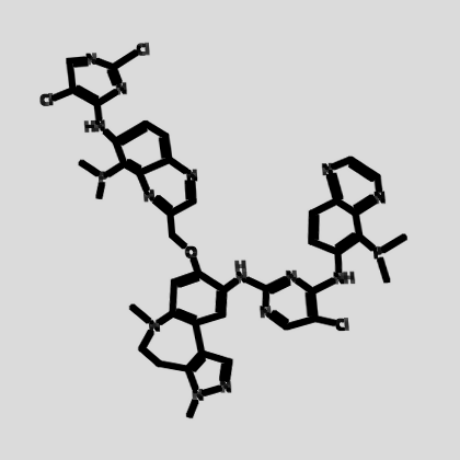 CN1CCc2c(cnn2C)-c2cc(Nc3ncc(Cl)c(Nc4ccc5nccnc5c4P(C)C)n3)c(OCc3cnc4ccc(Nc5nc(Cl)ncc5Cl)c(P(C)C)c4n3)cc21